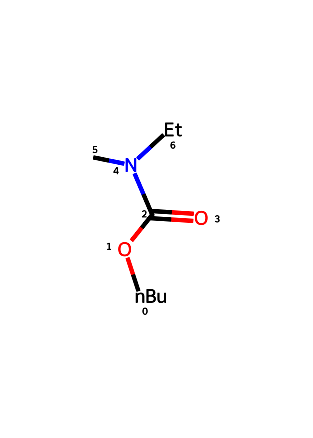 CCCCOC(=O)N(C)CC